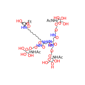 CCO[C@H]1C[C@H](O)C[C@@H]1NC(=O)CCCCCCCCCCC(=O)NC(CCC(=O)NC(CCC(=O)NCCOCCOC1OC(CO)C(O)C(O)C1NC(C)=O)C(=O)NCCOCCOC1OC(CO)C(O)C(O)C1NC(C)=O)C(=O)NCCOCCOC1OC(CO)C(O)C(O)C1NC(C)=O